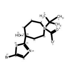 CC(C)(C)[N+]1(C(=O)[O-])CCC[C@](O)(c2ncc(Br)s2)CC1